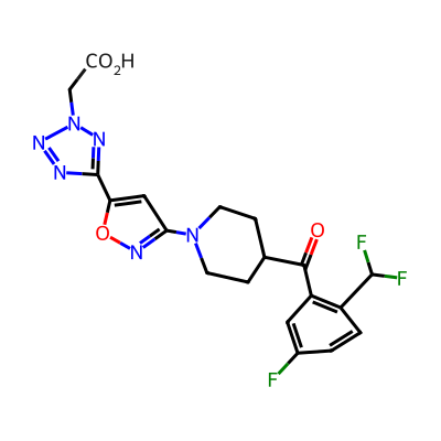 O=C(O)Cn1nnc(-c2cc(N3CCC(C(=O)c4cc(F)ccc4C(F)F)CC3)no2)n1